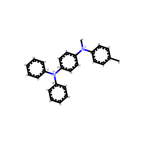 Cc1ccc(N(C)c2ccc(N(c3ccccc3)c3ccccc3)cc2)cc1